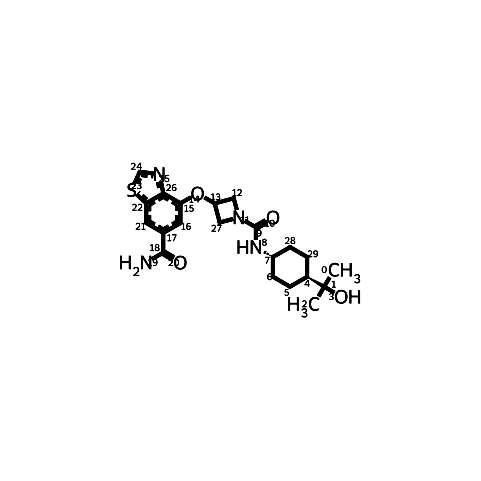 CC(C)(O)[C@H]1CC[C@H](NC(=O)N2CC(Oc3cc(C(N)=O)cc4scnc34)C2)CC1